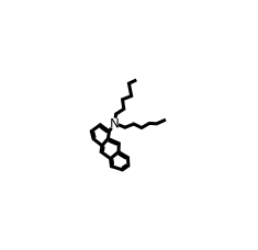 CCCCCCN(CCCCCC)c1cccc2cc3ccccc3cc12